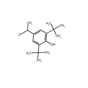 CC(Cl)c1cc(C(C)(C)C)c(O)c(C(C)(C)C)c1